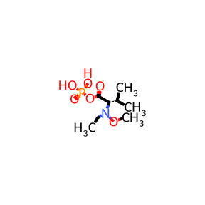 CCN(OC)[C@H](C(=O)OP(=O)(O)O)C(C)C